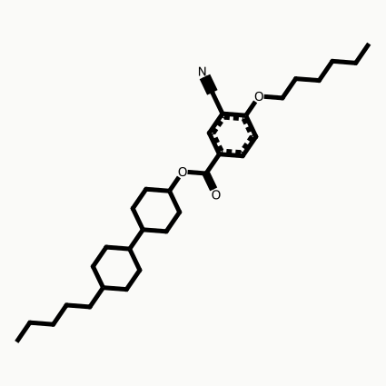 CCCCCCOc1ccc(C(=O)OC2CCC(C3CCC(CCCCC)CC3)CC2)cc1C#N